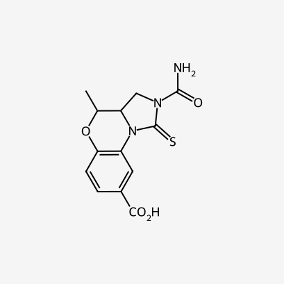 CC1Oc2ccc(C(=O)O)cc2N2C(=S)N(C(N)=O)CC12